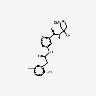 COCC(C#N)(CO)NC(=O)c1cc(NC(=O)Cc2cc(Cl)ccc2O)ccn1